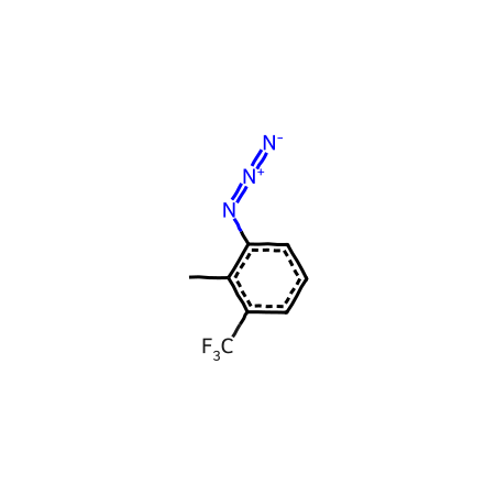 Cc1c(N=[N+]=[N-])cccc1C(F)(F)F